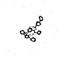 N/C(=N\C(c1cccc(-n2c3ccccc3c3ccc(-c4ccccc4)cc32)c1)[C@@H](N)c1ccccc1)c1ccc(-c2ccccc2)cc1